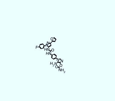 NC(=O)Oc1ncn(-c2ccc(NC(=O)Nc3cc(-c4ccco4)nn3-c3ccc(F)cc3)cc2)c1N